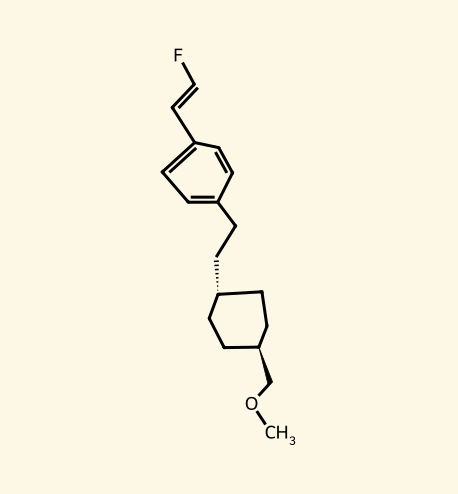 COC[C@H]1CC[C@H](CCc2ccc(C=CF)cc2)CC1